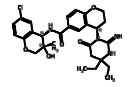 CCC1(CC)CC(=O)N([C@@H]2CCOc3ccc(C(=O)N[C@@H]4c5cc(Cl)ccc5OC[C@@]4(C)O)cc32)C(=N)N1